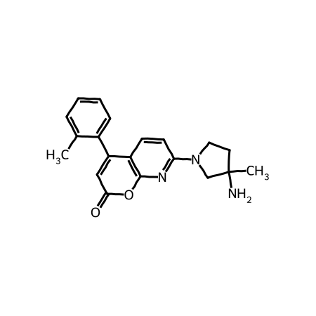 Cc1ccccc1-c1cc(=O)oc2nc(N3CCC(C)(N)C3)ccc12